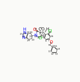 O=C(O)C1(Cc2c(Cl)cc(OCc3ccccc3)cc2Cl)CCN(C2CCc3nc[nH]c3C2)C1=O